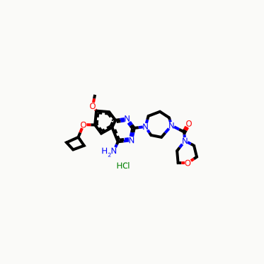 COc1cc2nc(N3CCCN(C(=O)N4CCOCC4)CC3)nc(N)c2cc1OC1CCC1.Cl